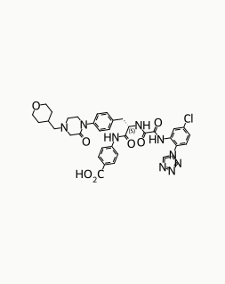 O=C(Nc1cc(Cl)ccc1-n1cnnn1)C(=O)N[C@@H](Cc1ccc(N2CCN(CC3CCOCC3)CC2=O)cc1)C(=O)Nc1ccc(C(=O)O)cc1